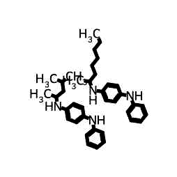 CC(C)CC(C)Nc1ccc(Nc2ccccc2)cc1.CCCCCCC(C)Nc1ccc(Nc2ccccc2)cc1